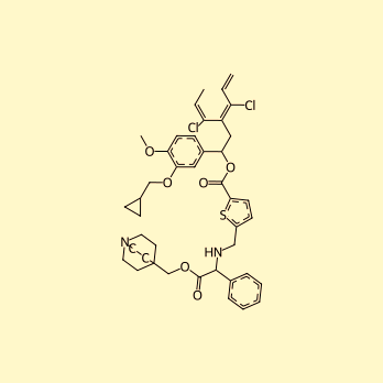 C=C/C(Cl)=C(CC(OC(=O)c1ccc(CNC(C(=O)OCC23CCN(CC2)CC3)c2ccccc2)s1)c1ccc(OC)c(OCC2CC2)c1)\C(Cl)=C/C